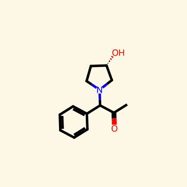 CC(=O)C(c1ccccc1)N1CC[C@H](O)C1